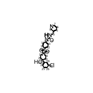 O=C(NCc1cccnc1)Nc1ccc(S(=O)(=O)N2CCC(O)(c3cccc(Cl)c3)CC2)cc1